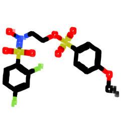 COc1ccc(S(=O)(=O)OCC[NH+]([O-])S(=O)(=O)c2ccc(F)cc2F)cc1